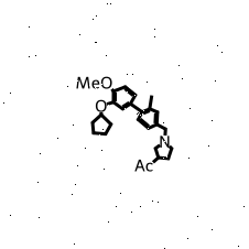 COc1ccc(-c2ccc(CN3CCC(C(C)=O)C3)cc2C)cc1OC1CCCC1